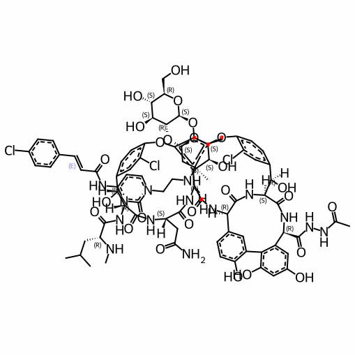 CN[C@H](CC(C)C)C(=O)N[C@H]1C(=O)N[C@@H](CC(N)=O)C(=O)N[C@H]2C(=O)N[C@H]3C(=O)N[C@H](C(=O)N[C@@H](C(=O)NNC(C)=O)c4cc(O)cc(O)c4-c4cc3ccc4O)[C@H](O)c3ccc(c(Cl)c3)Oc3cc2cc(c3O[C@@H]2O[C@H](CO)[C@@H](O)[C@H](O)[C@H]2O[C@H]2C[C@](C)(NCCn3ccc(NC(=O)/C=C/c4ccc(Cl)cc4)nc3=O)[C@H](O)[C@H](C)O2)Oc2ccc(cc2Cl)[C@H]1O